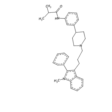 CC(C)C(=O)Nc1cccc(C2CCN(CCCc3c(-c4ccccc4)n(C)c4ccccc34)CC2)c1